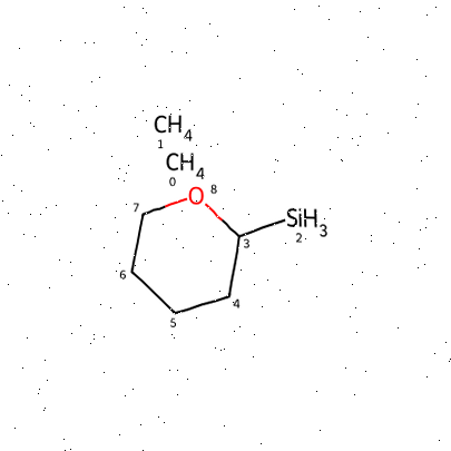 C.C.[SiH3]C1CCCCO1